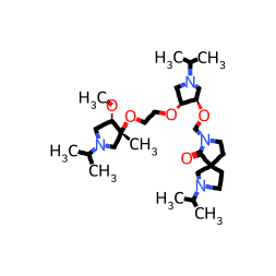 CO[C@H]1CN(C(C)C)C[C@@]1(C)OCCO[C@H]1CN(C(C)C)C[C@H]1OCN1CCC2(CCN(C(C)C)C2)C1=O